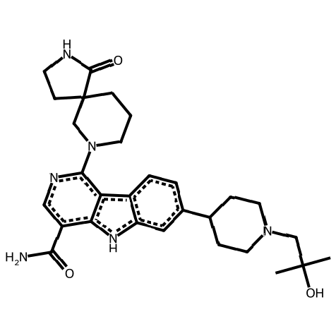 CC(C)(O)CN1CCC(c2ccc3c(c2)[nH]c2c(C(N)=O)cnc(N4CCCC5(CCNC5=O)C4)c23)CC1